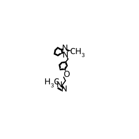 Cc1nc2ccccc2n1Cc1cccc(OCCc2nccn2C)c1